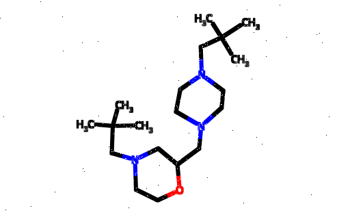 CC(C)(C)CN1CCN(CC2CN(CC(C)(C)C)CCO2)CC1